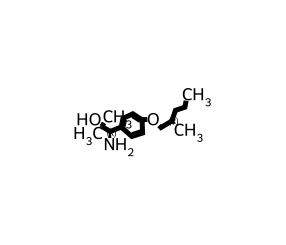 CCC[C@@H](C)COc1ccc([C@@H](N)C(C)(C)O)cc1